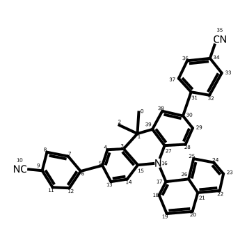 CC1(C)c2cc(-c3ccc(C#N)cc3)ccc2N(c2cccc3ccccc23)c2ccc(-c3ccc(C#N)cc3)cc21